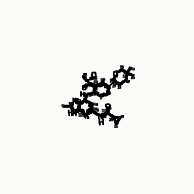 Cc1nc2c(Nc3ccc([C@H]4CCC(C)(C)CO4)cc3S(C)(=O)=O)cc(NC(=O)C3CC3)nc2[nH]1